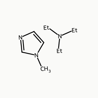 CCN(CC)CC.Cn1ccnc1